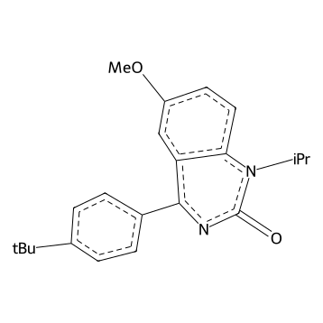 COc1ccc2c(c1)c(-c1ccc(C(C)(C)C)cc1)nc(=O)n2C(C)C